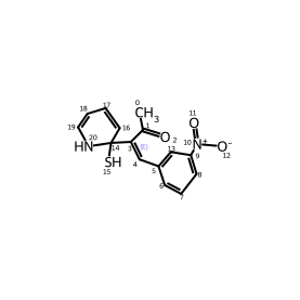 CC(=O)/C(=C\c1cccc([N+](=O)[O-])c1)C1(S)C=CC=CN1